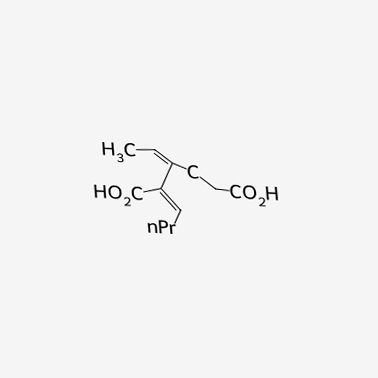 CC=C(CCC(=O)O)C(=CCCC)C(=O)O